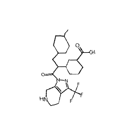 CC1CCC(CC(C(=O)n2nc(C(F)(F)F)c3c2CNCC3)C2CCCC(C(=O)O)C2)CC1